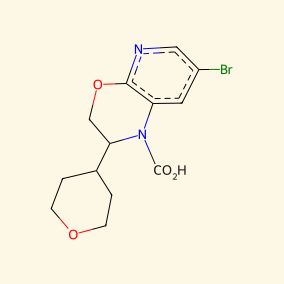 O=C(O)N1c2cc(Br)cnc2OCC1C1CCOCC1